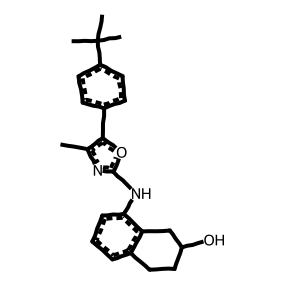 Cc1nc(Nc2cccc3c2CC(O)CC3)oc1-c1ccc(C(C)(C)C)cc1